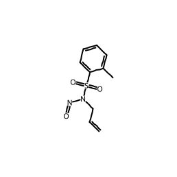 C=CCN(N=O)S(=O)(=O)c1ccccc1C